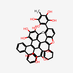 Cc1c(O)c(O)c(-c2ccc3oc(C4=CCCC=C4)c(-c4c5c(C)c(O)c(O)c(O)c5c(-c5ccccc5-c5ccccc5)c5c(O)c(O)c(O)c(O)c45)c3c2)c(O)c1O